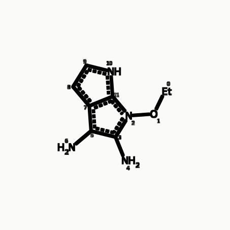 CCOn1c(N)c(N)c2cc[nH]c21